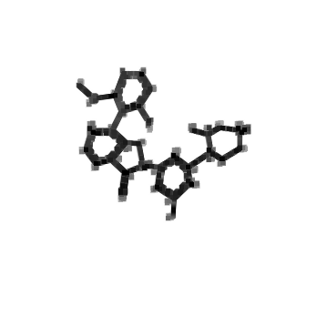 COc1cccc(F)c1-c1nccc2c1CN(c1cc(C)nc(N3CCNCC3C)n1)C2=O